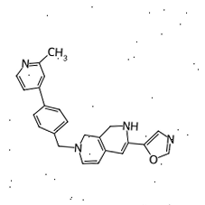 Cc1cc(-c2ccc(CN3C=CC4=C(CNC(c5cnco5)=C4)C3)cc2)ccn1